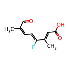 CC(C=O)=CC=C(F)C(C)=CC(=O)O